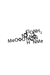 CNc1cc(Nc2cc(Cl)cnc2O[C@H]2C[C@@H](OC)C2)nc2c(C(N)=O)cnn12